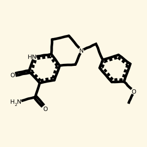 COc1ccc(CN2CCc3[nH]c(=O)c(C(N)=O)cc3C2)cc1